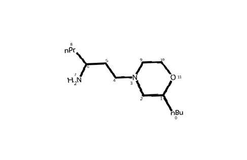 CCCCC1CN(CCC(N)CCC)CCO1